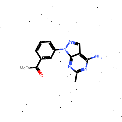 COC(=O)c1cccc(-n2ncc3c(N)nc(C)nc32)c1